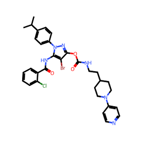 CC(C)c1ccc(-n2nc(OC(=O)NCCC3CCN(c4ccncc4)CC3)c(Br)c2NC(=O)c2ccccc2Cl)cc1